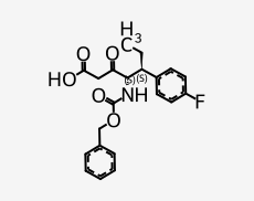 CC[C@@H](c1ccc(F)cc1)[C@H](NC(=O)OCc1ccccc1)C(=O)CC(=O)O